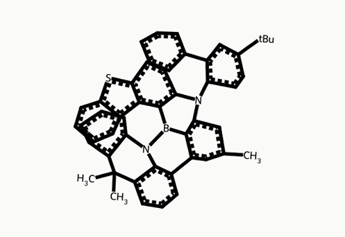 Cc1cc2c3c(c1)N(c1ccc(C(C)(C)C)cc1-c1ccccc1)c1ccc4sc5ccccc5c4c1B3N1c3ccccc3C(C)(C)c3cccc-2c31